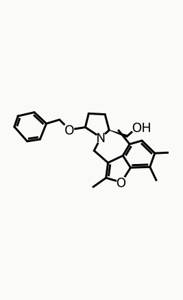 Cc1cc(C)c2c(CN3C(OCc4ccccc4)CC[C@H]3CO)c(C)oc2c1C